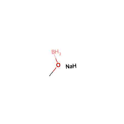 BOC.[NaH]